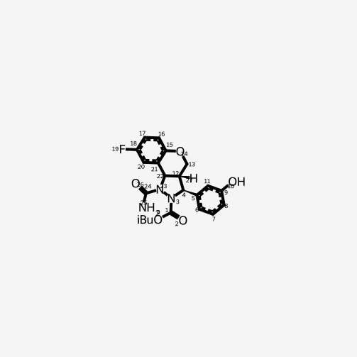 CC(C)COC(=O)N1[C@H](c2cccc(O)c2)[C@H]2COc3ccc(F)cc3C2N1C(N)=O